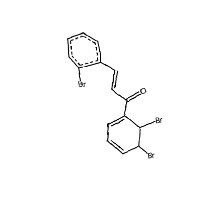 O=C(C=Cc1ccccc1Br)C1=CC=CC(Br)C1Br